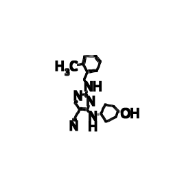 Cc1ccccc1CNc1ncc(C#N)c(N[C@H]2CC[C@@H](O)CC2)n1